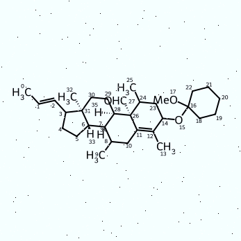 CC=CC1CC[C@H]2[C@@H]3C(C)CC4=C(C)C(OC5(OC)CCCCC5)CC(C)[C@]4(C=O)[C@@H]3CC[C@]12C